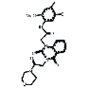 COc1cc(C)c(Cl)cc1NC(=O)Cn1c(=O)n(CC(=O)N2CCOCC2)c(=O)c2ccccc21